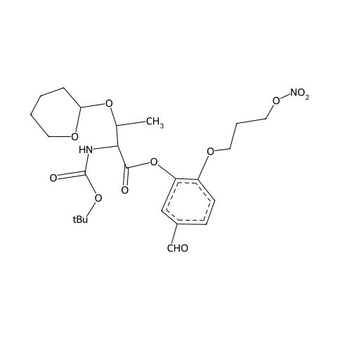 CC(OC1CCCCO1)C(NC(=O)OC(C)(C)C)C(=O)Oc1cc(C=O)ccc1OCCCO[N+](=O)[O-]